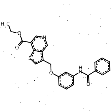 CCOC(=O)c1cncc2c(COc3cccc(NC(=O)c4ccccc4)c3)csc12